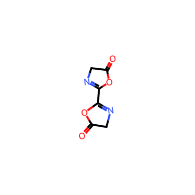 O=C1CN=C(C2=NCC(=O)O2)O1